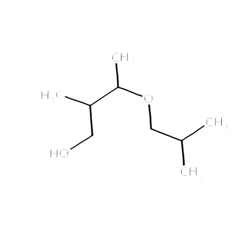 CC(C)COC(C)C(C)CO